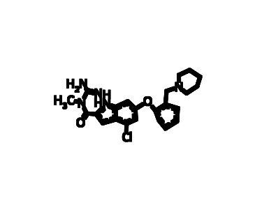 CN(C(=N)N)C(=O)c1cc2c(Cl)cc(Oc3ccccc3CN3CCCCC3)cc2[nH]1